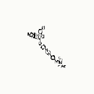 CC(=O)C(C)N1CCS/C1=N\c1ccc(N2CCN(c3ccc(OCC4COC(Cn5cncn5)(c5ccc(Cl)cc5Cl)O4)cc3)CC2)cc1